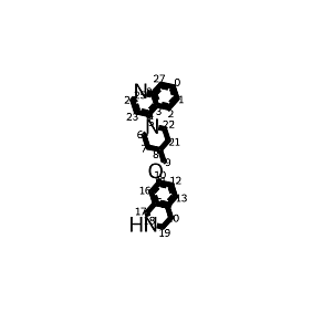 c1ccc2c(N3CCC(COc4ccc5c(c4)CNCC5)CC3)ccnc2c1